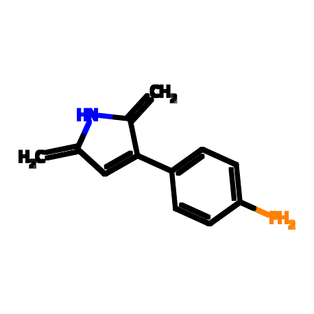 C=c1cc(-c2ccc(P)cc2)c(=C)[nH]1